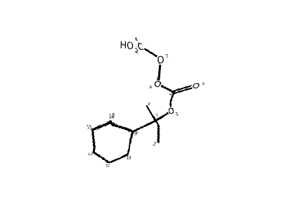 CC(C)(OC(=O)OOC(=O)O)C1CCCCC1